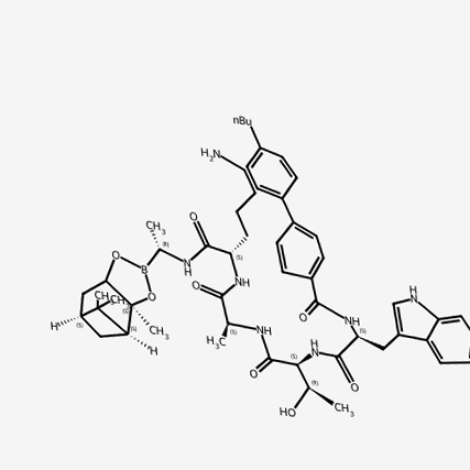 CCCCc1ccc(-c2ccc(C(=O)N[C@@H](Cc3c[nH]c4ccccc34)C(=O)N[C@H](C(=O)N[C@@H](C)C(=O)N[C@@H](CCCCN)C(=O)N[C@@H](C)B3OC4C[C@@H]5C[C@@H](C5(C)C)[C@]4(C)O3)[C@@H](C)O)cc2)cc1